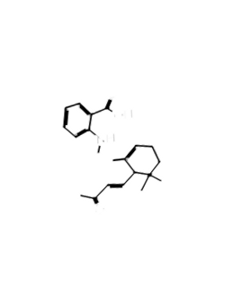 CC(=O)C=CC1C(C)=CCCC1(C)C.CNc1ccccc1C(=O)O